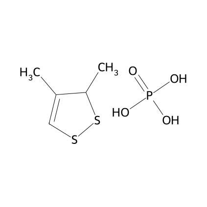 CC1=CSSC1C.O=P(O)(O)O